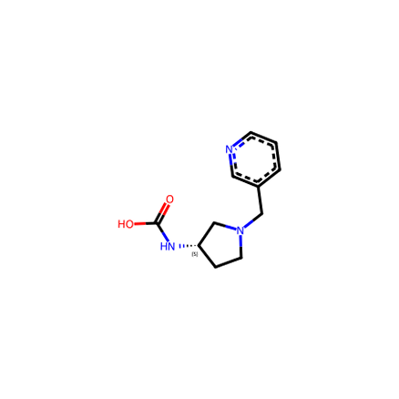 O=C(O)N[C@H]1CCN(Cc2cccnc2)C1